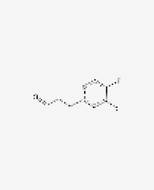 O=CCCc1ccc(F)c(Cl)c1